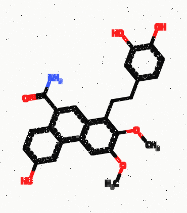 COc1cc2c(cc(C(N)=O)c3ccc(O)cc32)c(CCc2ccc(O)c(O)c2)c1OC